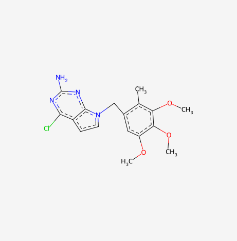 COc1cc(Cn2ccc3c(Cl)nc(N)nc32)c(C)c(OC)c1OC